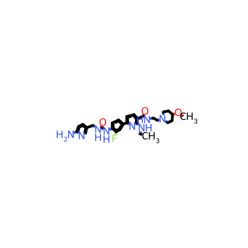 CCNc1nc(-c2ccc(NC(=O)NCc3ccc(N)nc3)c(F)c2)ccc1C(=O)NCCN1CCC(OC)CC1